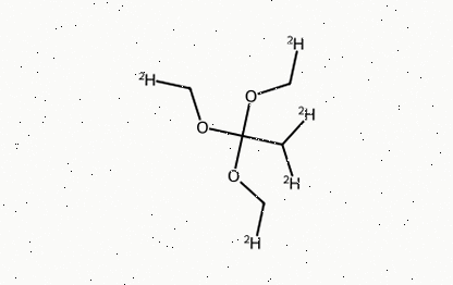 [2H]COC(OC[2H])(OC[2H])C([2H])[2H]